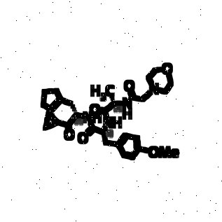 COc1ccc(C[C@H](NC(=O)[C@H](C)NC(=O)CN2CCOCC2)C(=O)N[C@@H](CC2=CCCC2)C(=O)C2CC2)cc1